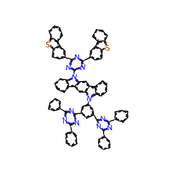 c1ccc(-c2nc(-c3ccccc3)nc(-c3cc(-c4nc(-c5ccccc5)nc(-c5ccccc5)n4)cc(-n4c5ccccc5c5cc6c(cc54)c4ccccc4n6-c4nc(-c5ccc6sc7ccccc7c6c5)nc(-c5ccc6sc7ccccc7c6c5)n4)c3)n2)cc1